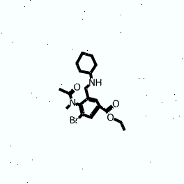 CCOC(=O)c1cc(Br)c(N(C)C(C)=O)c(CNC2CCCCC2)c1